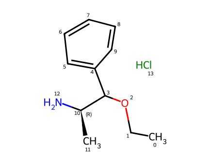 CCOC(c1ccccc1)[C@@H](C)N.Cl